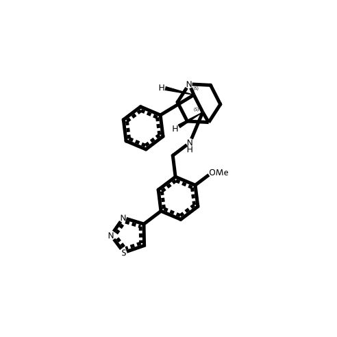 COc1ccc(-c2csnn2)cc1CN[C@H]1C2CCN(CC2)[C@H]1c1ccccc1